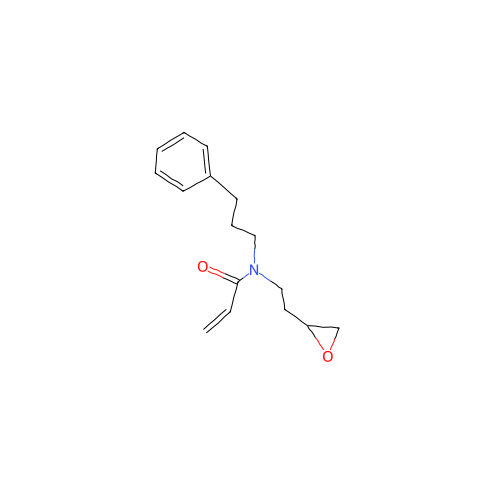 C=CC(=O)N(CCCc1ccccc1)CCC1CO1